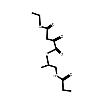 CCOC(=O)CC(=O)C(=O)SC(C)CNC(=O)CC